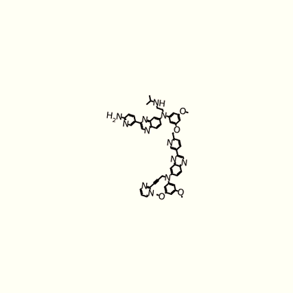 COc1cc(OC)cc(N(CC#Cc2ncccn2)c2ccc3ncc(-c4ccc(COc5cc(OC)cc(N(CCNC(C)C)c6ccc7ncc(-c8ccc(N)nc8)nc7c6)c5)nc4)nc3c2)c1